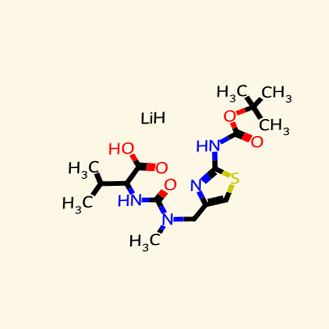 CC(C)C(NC(=O)N(C)Cc1csc(NC(=O)OC(C)(C)C)n1)C(=O)O.[LiH]